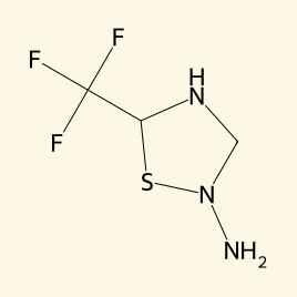 NN1CNC(C(F)(F)F)S1